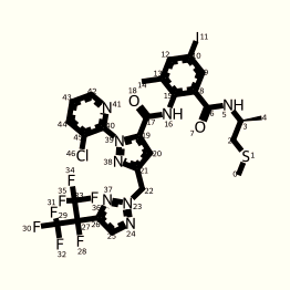 CSC[C@H](C)NC(=O)c1cc(I)cc(C)c1NC(=O)c1cc(Cn2ncc(C(F)(C(F)(F)F)C(F)(F)F)n2)nn1-c1ncccc1Cl